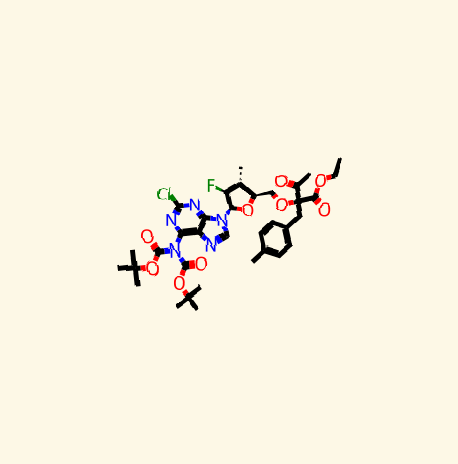 CCOC(=O)C(Cc1ccc(C)cc1)(OC[C@H]1O[C@@H](n2cnc3c(N(C(=O)OC(C)(C)C)C(=O)OC(C)(C)C)nc(Cl)nc32)[C@@H](F)[C@@H]1C)C(C)=O